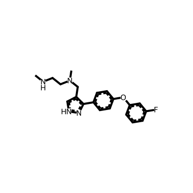 CNCCN(C)Cc1c[nH]nc1-c1ccc(Oc2cccc(F)c2)cc1